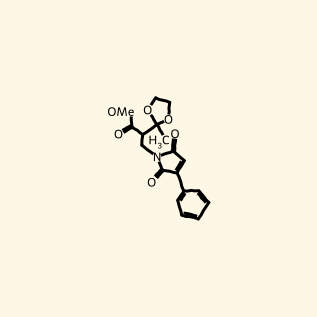 COC(=O)C(CN1C(=O)C=C(c2ccccc2)C1=O)C1(C)OCCO1